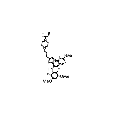 C=CC(=O)N1CCN(CCCc2cn3c(n2)c(Nc2c(F)c(OC)cc(OC)c2F)cc2cnc(NC)nc23)CC1